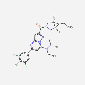 CC(C)CN(c1cc(-c2cc(F)c(Cl)c(F)c2)nc2cc(C(=O)N3C[C@@H]4[C@@H](CC=O)[C@@H]4C3)nn12)[C@H](C)C(C)C